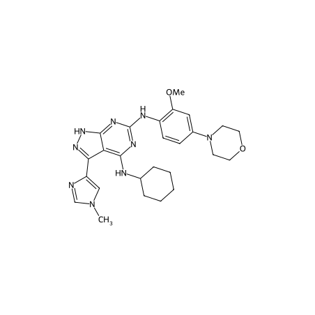 COc1cc(N2CCOCC2)ccc1Nc1nc(NC2CCCCC2)c2c(-c3cn(C)cn3)n[nH]c2n1